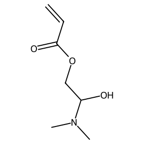 C=CC(=O)OCC(O)N(C)C